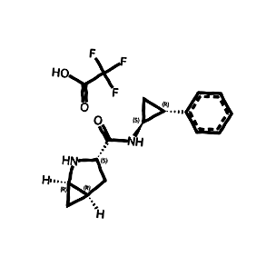 O=C(N[C@H]1C[C@@H]1c1ccccc1)[C@@H]1C[C@H]2C[C@H]2N1.O=C(O)C(F)(F)F